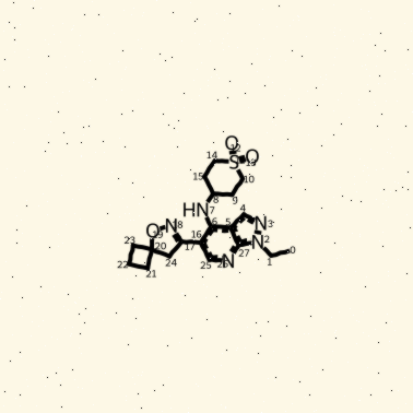 CCn1ncc2c(NC3CCS(=O)(=O)CC3)c(C3=NOC4(CCC4)C3)cnc21